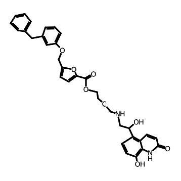 O=C(OCCCCNCC(O)c1ccc(O)c2[nH]c(=O)ccc12)c1ccc(COc2cccc(Cc3ccccc3)c2)o1